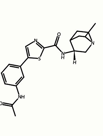 CC(=O)Nc1cccc(-c2cnc(C(=O)N[C@H]3CN4CCC3CC4C)s2)c1